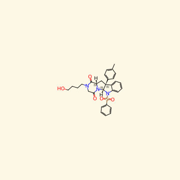 Cc1ccc([C@]23C[C@H]4C(=O)N(CCCCO)CC(=O)N4[C@H]2N(S(=O)(=O)c2ccccc2)c2ccccc23)cc1